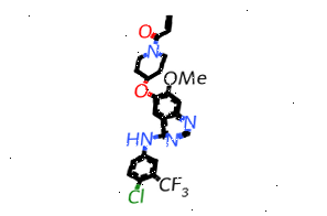 C=CC(=O)N1CCC(Oc2cc3c(Nc4ccc(Cl)c(C(F)(F)F)c4)ncnc3cc2OC)CC1